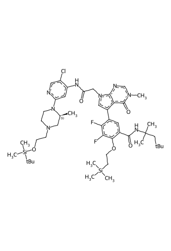 C[C@H]1CN(CCO[Si](C)(C)C(C)(C)C)CCN1c1cc(NC(=O)Cn2cc(-c3cc(C(=O)NC(C)(C)CC(C)(C)C)c(OCC[Si](C)(C)C)c(F)c3F)c3c(=O)n(C)cnc32)c(Cl)cn1